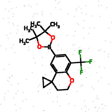 CC1(C)OB(c2cc(C(F)(F)F)c3c(c2)C2(CCO3)CC2)OC1(C)C